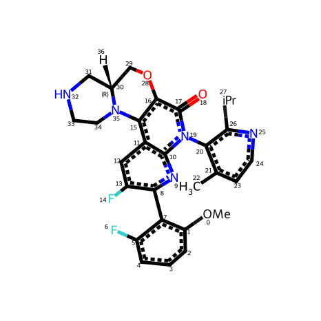 COc1cccc(F)c1-c1nc2c(cc1F)c1c(c(=O)n2-c2c(C)ccnc2C(C)C)OC[C@H]2CNCCN12